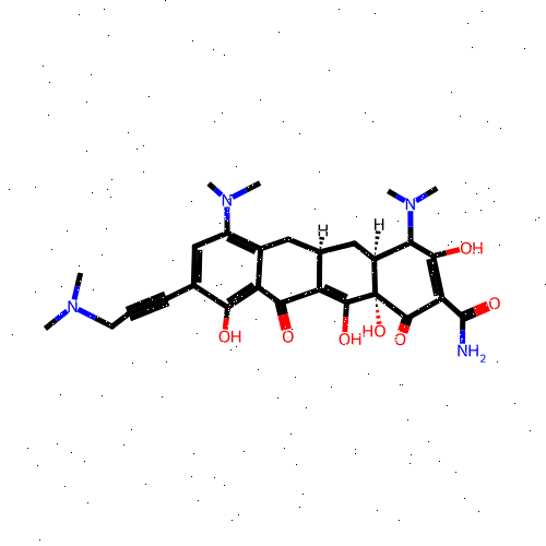 CN(C)CC#Cc1cc(N(C)C)c2c(c1O)C(=O)C1=C(O)[C@]3(O)C(=O)C(C(N)=O)=C(O)C(N(C)C)[C@@H]3C[C@@H]1C2